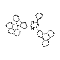 c1ccc(-c2nc(-c3ccc4c(c3)-c3ccccc3C43c4cccc5ccc6cccc3c6c45)nc(-c3ccc4c5ccccc5c5ccccc5c4c3)n2)cc1